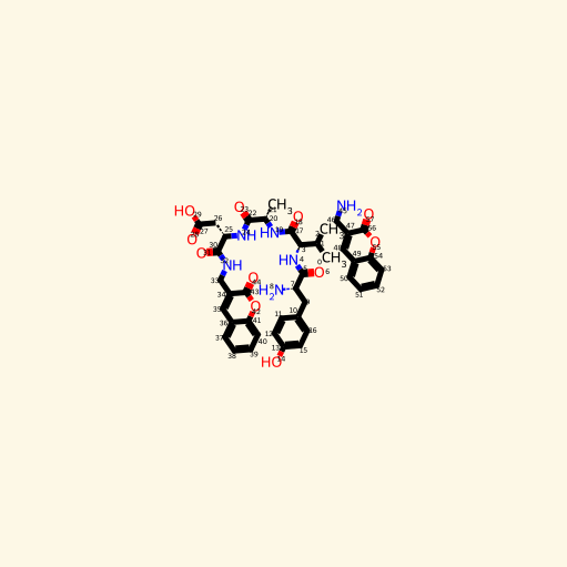 CC(C)[C@H](NC(=O)[C@@H](N)Cc1ccc(O)cc1)C(=O)N[C@@H](C)C(=O)N[C@@H](CC(=O)O)C(=O)NCc1cc2ccccc2oc1=O.NCc1cc2ccccc2oc1=O